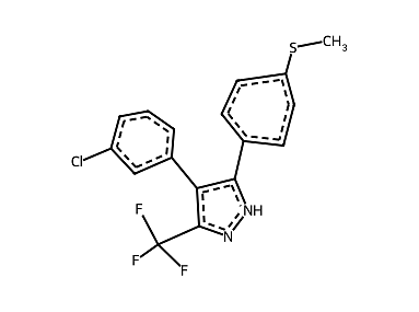 CSc1ccc(-c2[nH]nc(C(F)(F)F)c2-c2cccc(Cl)c2)cc1